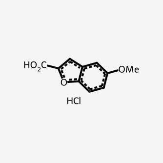 COc1ccc2oc(C(=O)O)cc2c1.Cl